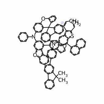 C=Cc1sc2c(-c3cccc4ccccc34)cc(N(c3ccc(-c4ccc5c(c4)C(C)(C)c4ccccc4-5)cc3)c3cccc4c3-c3ccccc3C43c4ccccc4Oc4ccc(N(c5ccccc5)c5cc(-c6ccc7occc7c6)c6c(c5)oc5ccccc56)cc43)cc2c1/C=C\C